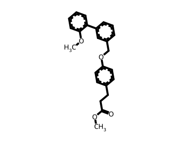 COC(=O)CCc1ccc(OCc2cccc(-c3ccccc3OC)c2)cc1